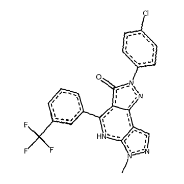 Cn1ncc2c3nn(-c4ccc(Cl)cc4)c(=O)c-3c(-c3cccc(C(F)(F)F)c3)[nH]c21